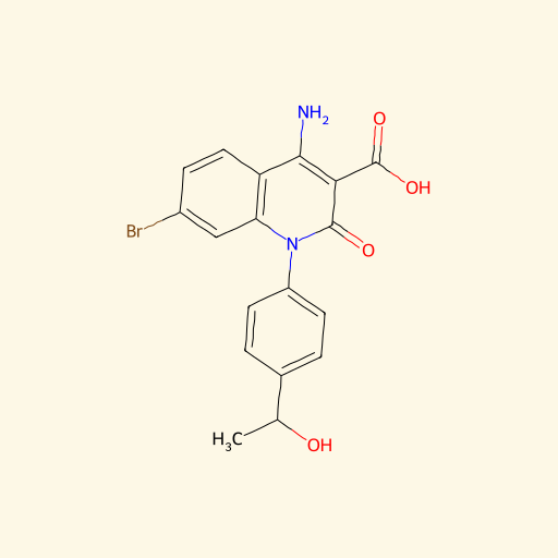 CC(O)c1ccc(-n2c(=O)c(C(=O)O)c(N)c3ccc(Br)cc32)cc1